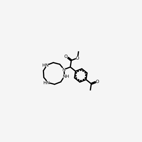 COC(=O)C(c1ccc(C(C)=O)cc1)N1CCNCCNCCN1